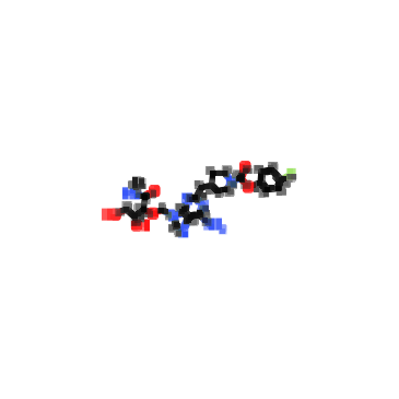 CCNC(=O)[C@@H](OCn1cnc2c(N)nc(CC3CCN(C(=O)Oc4ccc(F)cc4)CC3)nc21)C(O)CO